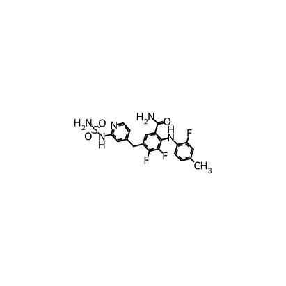 Cc1ccc(Nc2c(C(N)=O)cc(Cc3ccnc(NS(N)(=O)=O)c3)c(F)c2F)c(F)c1